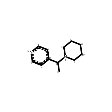 CC(c1ccncc1)N1CCCCC1